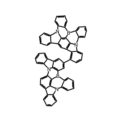 c1ccc2c(c1)B1c3cc(-c4cccc5c4c4cc6c7ccccc7n7c6c6c4n5-c4ccccc4B6c4ccccc4-7)cc4c5ccccc5n(c34)-c3ccc4c5ccccc5n-2c4c31